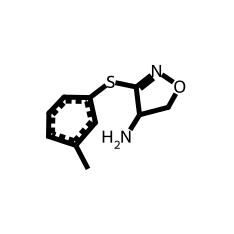 Cc1cccc(SC2=NOCC2N)c1